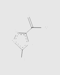 COC(=O)c1nnc(S)s1